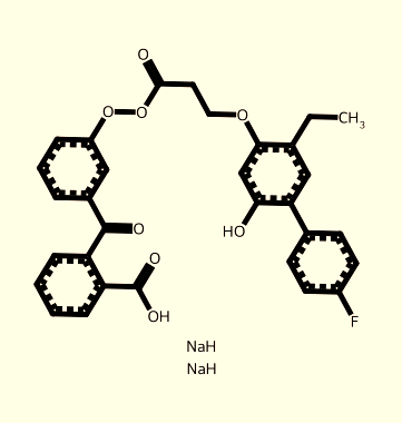 CCc1cc(-c2ccc(F)cc2)c(O)cc1OCCC(=O)OOc1cccc(C(=O)c2ccccc2C(=O)O)c1.[NaH].[NaH]